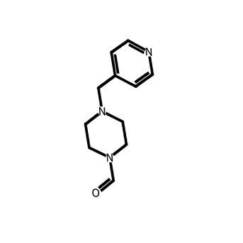 O=CN1CCN(Cc2ccncc2)CC1